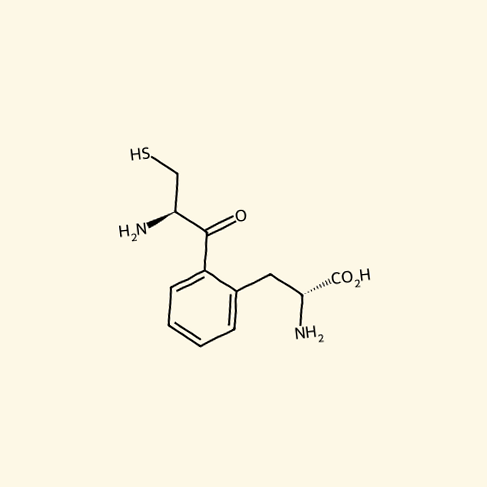 N[C@H](Cc1ccccc1C(=O)[C@@H](N)CS)C(=O)O